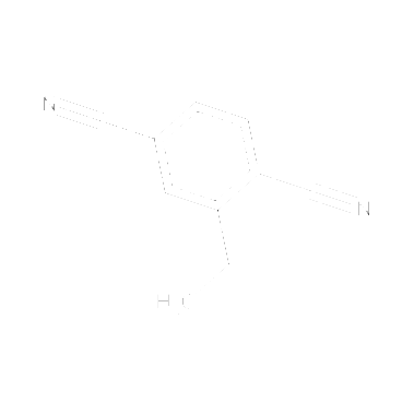 CCc1cc(C#N)ccc1C#N